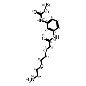 CC(C)(C)OC(=O)Nc1cccc(NC(=O)COCCOCCN)c1